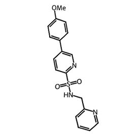 COc1ccc(-c2ccc(S(=O)(=O)NCc3ccccn3)nc2)cc1